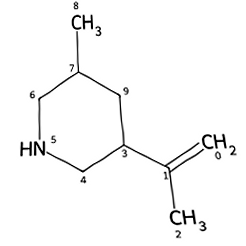 C=C(C)C1CNCC(C)C1